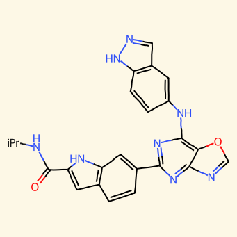 CC(C)NC(=O)c1cc2ccc(-c3nc(Nc4ccc5[nH]ncc5c4)c4ocnc4n3)cc2[nH]1